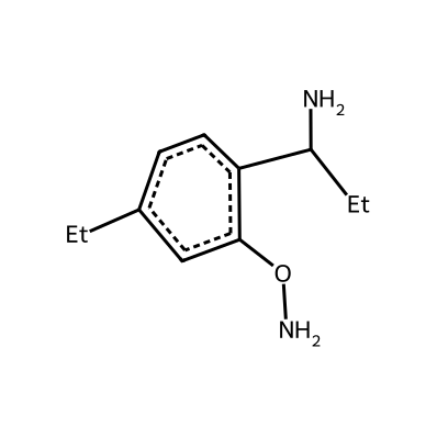 CCc1ccc(C(N)CC)c(ON)c1